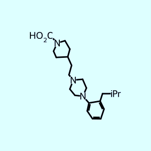 CC(C)Cc1ccccc1N1CCN(CCC2CCN(C(=O)O)CC2)CC1